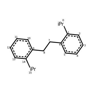 CC(C)c1ccccc1CCc1ccccc1C(C)C